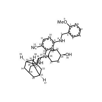 COc1ncccc1CNc1ncc(C#N)c(NC[C@]23CC4C[C@H](C2)[C@@H](NC[C@H]2CC[C@H](O)CC2)[C@@H](C4)C3)n1